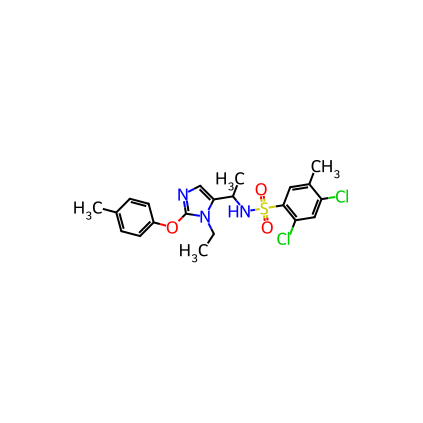 CCn1c(C(C)NS(=O)(=O)c2cc(C)c(Cl)cc2Cl)cnc1Oc1ccc(C)cc1